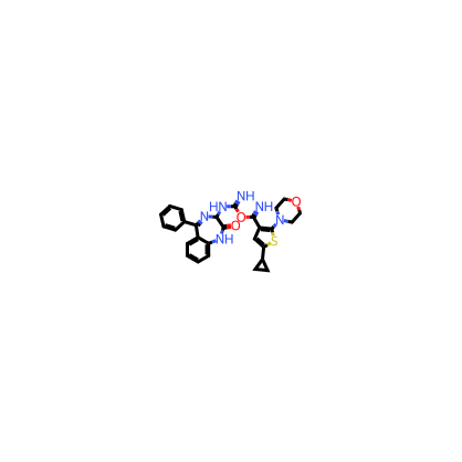 N=C(NC1N=C(c2ccccc2)c2ccccc2NC1=O)OC(=N)c1cc(C2CC2)sc1N1CCOCC1